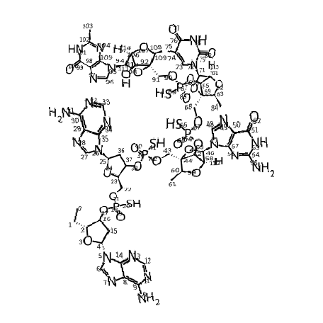 CC[C@H]1O[C@@H](n2cnc3c(N)ncnc32)CC1OP(=O)(S)OC[C@H]1O[C@@H](n2cnc3c(N)ncnc32)CC1OP(=O)(S)OC[C@@]12O[C@@H](n3cnc4c(=O)[nH]c(N)nc43)[C@@H](O[C@H]1C)C2OP(=O)(S)OC[C@@]12O[C@@H](n3cc(C)c(=O)[nH]c3=O)[C@@H](O[C@H]1C)C2OP(=O)(S)OC[C@@]12O[C@@H](n3cnc4c(=O)[nH]c(C)nc43)[C@@H](O[C@H]1C)C2O